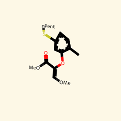 CCCCCSc1ccc(C)c(O/C(=C\OC)C(=O)OC)c1